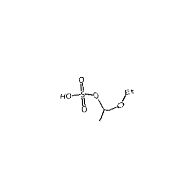 CCOC(C)OS(=O)(=O)O